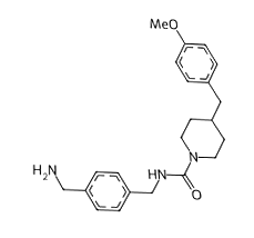 COc1ccc(CC2CCN(C(=O)NCc3ccc(CN)cc3)CC2)cc1